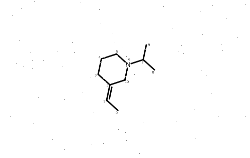 C/C=C1/CCCN(C(C)C)C1